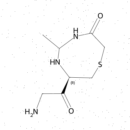 CC1NC(=O)CSC[C@@H](C(=O)CN)N1